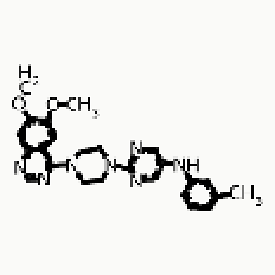 COc1cc2ncnc(N3CCN(c4ncc(Nc5cccc(C)c5)cn4)CC3)c2cc1OC